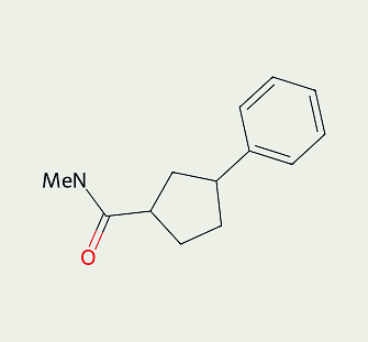 CNC(=O)C1CCC(c2ccccc2)C1